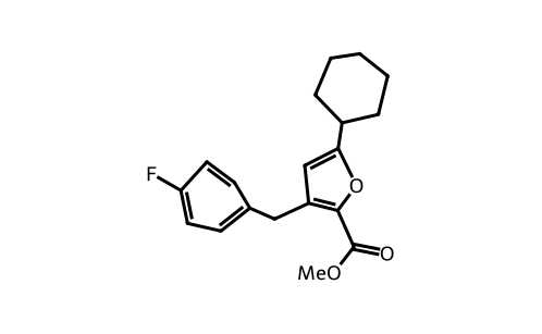 COC(=O)c1oc(C2CCCCC2)cc1Cc1ccc(F)cc1